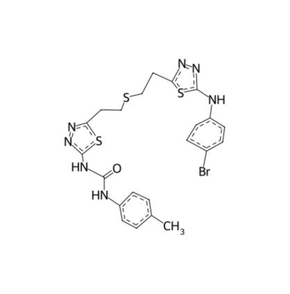 Cc1ccc(NC(=O)Nc2nnc(CCSCCc3nnc(Nc4ccc(Br)cc4)s3)s2)cc1